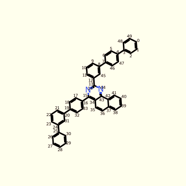 c1ccc(-c2ccc(-c3cccc(-c4nc(-c5ccc(-c6cccc(-c7ccccc7)c6)cc5)c5ccc6ccccc6c5n4)c3)cc2)cc1